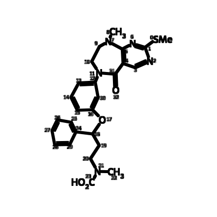 CSc1ncc2c(n1)N(C)CCN(c1cccc(OC(CCN(C)C(=O)O)c3ccccc3)c1)C2=O